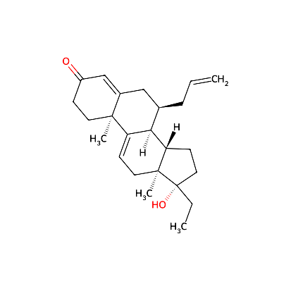 C=CC[C@@H]1CC2=CC(=O)CC[C@]2(C)C2=CC[C@@]3(C)[C@@H](CC[C@@]3(O)CC)[C@@H]21